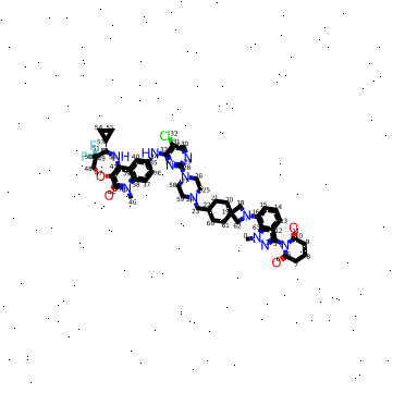 Cn1nc(N2C(=O)CCCC2=O)c2cccc(N3CC4(CCC(CN5CCN(c6ncc(Cl)c(Nc7ccc8c(c7)c7c(c(=O)n8C)OCC(F)(F)[C@H](C8CC8)N7)n6)CC5)CC4)C3)c21